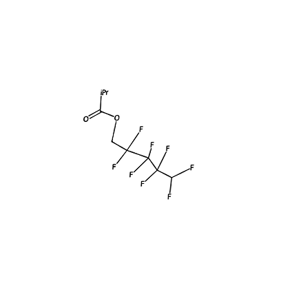 CC(C)C(=O)OCC(F)(F)C(F)(F)C(F)(F)C(F)F